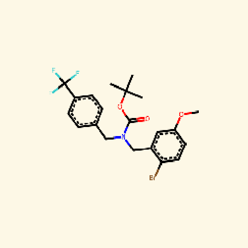 COc1ccc(Br)c(CN(Cc2ccc(C(F)(F)F)cc2)C(=O)OC(C)(C)C)c1